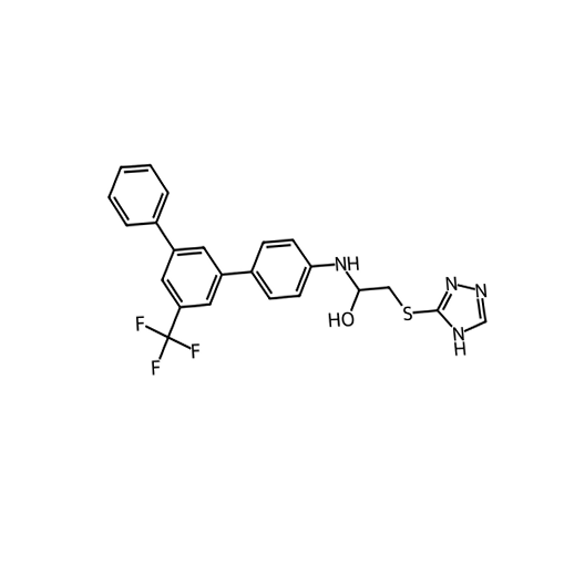 OC(CSc1nnc[nH]1)Nc1ccc(-c2cc(-c3ccccc3)cc(C(F)(F)F)c2)cc1